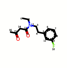 CCN(CCc1cccc(F)c1)C(=O)CC(C)=O